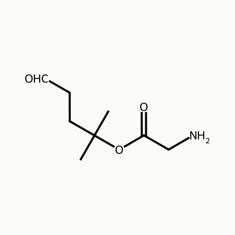 CC(C)(CCC=O)OC(=O)CN